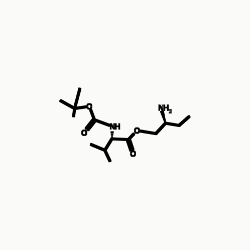 CC[C@H](N)COC(=O)[C@@H](NC(=O)OC(C)(C)C)C(C)C